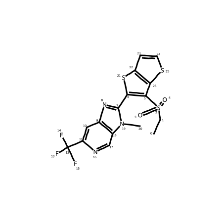 CCS(=O)(=O)c1c(-c2nc3cc(C(F)(F)F)ncc3n2C)sc2ccsc12